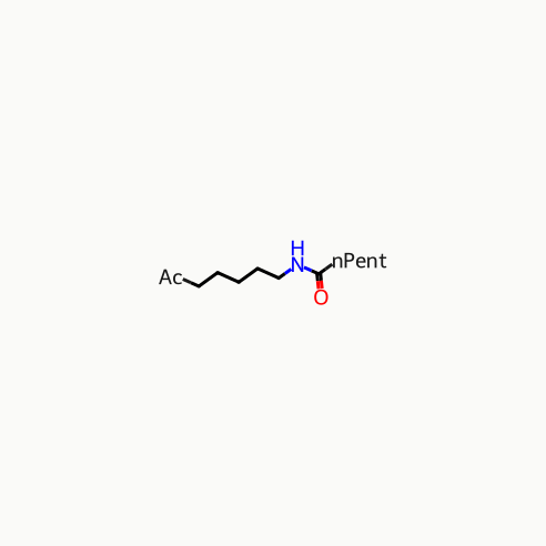 CCCCCC(=O)NCCCCCC(C)=O